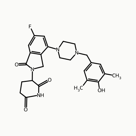 Cc1cc(CN2CCN(c3cc(F)cc4c3CN(C3CCC(=O)NC3=O)C4=O)CC2)cc(C)c1O